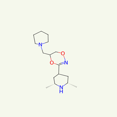 C[C@@H]1CC(C2=NOCC(CN3CCCCC3)O2)C[C@H](C)N1